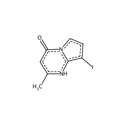 Cc1cc(=O)n2ccc(I)c2[nH]1